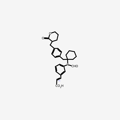 O=CN(c1cccc(/C=C/C(=O)O)c1)C1(Cc2ccc(CC3CCCOC3=O)cc2)CCCCC1